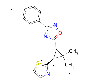 CC1(C)[C@@H](c2nc(-c3ccccc3)no2)[C@@H]1c1nccs1